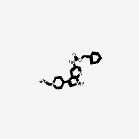 C[C](C)CN1CCC(c2c[nH]c3ncc(NC(=O)OCc4ccccc4)cc23)CC1